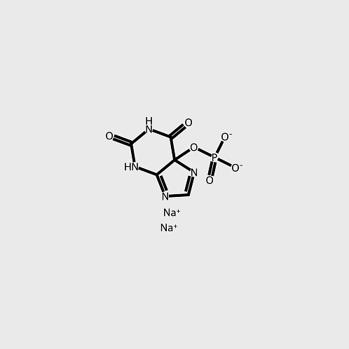 O=C1NC(=O)C2(OP(=O)([O-])[O-])N=CN=C2N1.[Na+].[Na+]